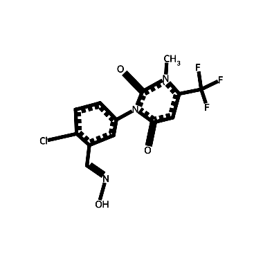 Cn1c(C(F)(F)F)cc(=O)n(-c2ccc(Cl)c(C=NO)c2)c1=O